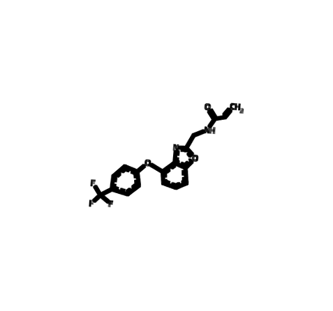 C=CC(=O)NCc1nc2c(Oc3ccc(C(F)(F)F)cc3)cccc2o1